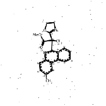 COC(=O)C(C1=NCCO1)(c1nc2ccc(C)cc2c2ccccc12)C(F)(F)F